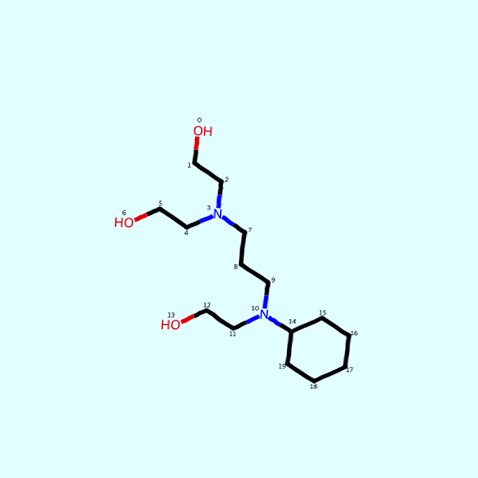 OCCN(CCO)CCCN(CCO)C1CCCCC1